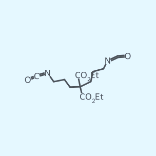 CCOC(=O)C(CCCN=C=O)(CCCN=C=O)C(=O)OCC